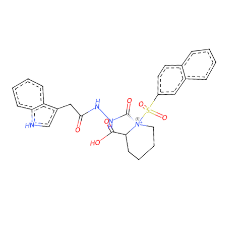 O=C(Cc1c[nH]c2ccccc12)NNC(=O)[N@+]1(S(=O)(=O)c2ccc3ccccc3c2)CCCCC1C(=O)O